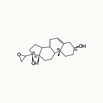 C[C@]12CC[C@H](O)CC1=CCC1C2CC[C@@]2(C)C1CC[C@@]2(O)C1CO1